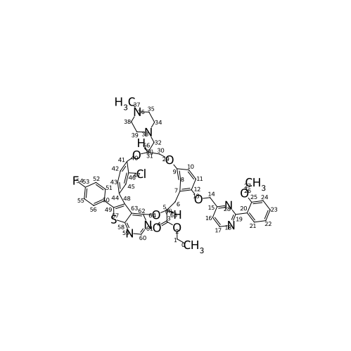 CCOC(=O)[C@H]1Cc2cc(ccc2OCc2ccnc(-c3ccccc3OC)n2)OC[C@@H](CN2CCN(C)CC2)Oc2ccc(cc2Cl)-c2c(-c3ccc(F)cc3)sc3ncnc(c23)O1